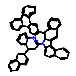 c1ccc2cc(-c3cc(-n4c5ccc6ccccc6c5c5cc6ccccc6c(-c6ccc7c8ccccc8c8ccccc8c7c6)c54)nc4ccccc34)ccc2c1